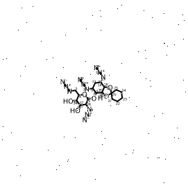 [N-]=[N+]=NCC1O[C@H](O[C@@H]2C(N=[N+]=[N-])C[C@H](N=[N+]=[N-])C3OC4(CCCCC4)O[C@H]32)C(N=[N+]=[N-])[C@@H](O)[C@@H]1O